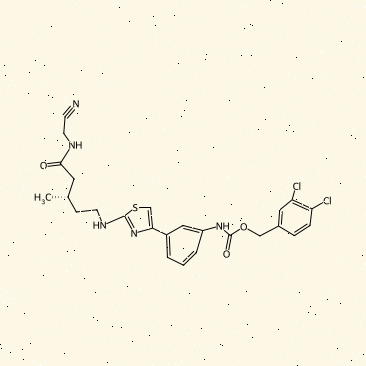 C[C@@H](CCNc1nc(-c2cccc(NC(=O)OCc3ccc(Cl)c(Cl)c3)c2)cs1)CC(=O)NCC#N